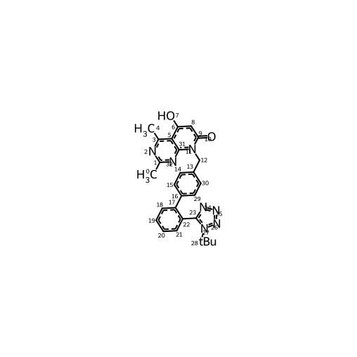 Cc1nc(C)c2c(O)cc(=O)n(Cc3ccc(-c4ccccc4-c4nnnn4C(C)(C)C)cc3)c2n1